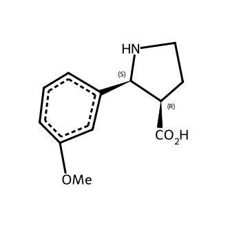 COc1cccc([C@H]2NCC[C@H]2C(=O)O)c1